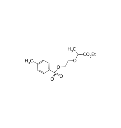 CCOC(=O)C(C)OCCOS(=O)(=O)c1ccc(C)cc1